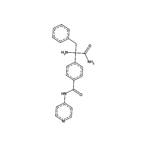 NC(=O)C(N)(Cc1ccccc1)c1ccc(C(=O)Nc2ccncc2)cc1